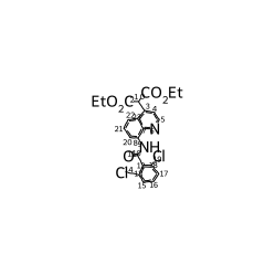 CCOC(=O)C(C(=O)OCC)c1ccnc2c(NC(=O)c3c(Cl)cccc3Cl)cccc12